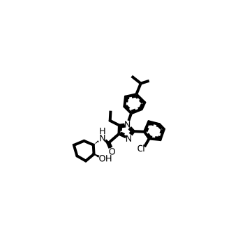 CCc1c(C(=O)N[C@H]2CCCC[C@@H]2O)nc(-c2ccccc2Cl)n1-c1ccc(C(C)C)cc1